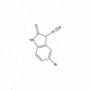 N#[N+]C1C(=O)Nc2ccc(Br)cc21